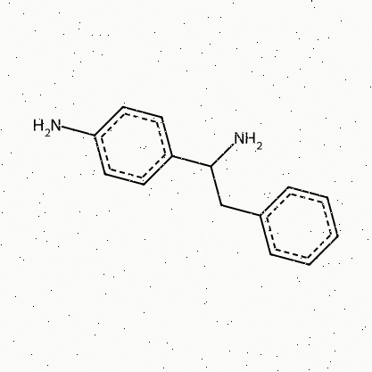 Nc1ccc(C(N)Cc2ccccc2)cc1